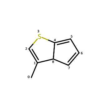 CC1=CSC2=CC=CC12